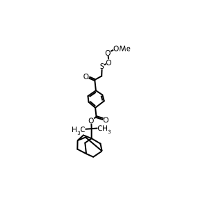 COOOSCC(=O)c1ccc(C(=O)OC(C)(C)C23CC4CC(CC(C4)C2)C3)cc1